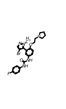 Cn1ncc(Br)c1-c1cc(NC(=O)Nc2ccc(F)cc2)ccc1OCCN1CCCC1